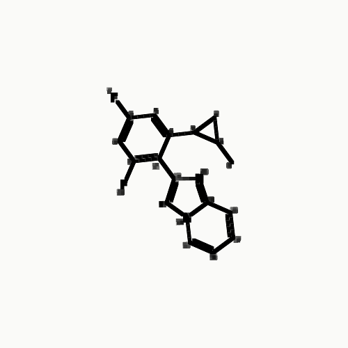 CC1CC1c1cc(F)cc(F)c1-c1cn2ccccc2n1